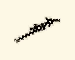 CNc1cc(C)c(/C=C/S(=O)(=O)N2CCC3(CC2)N=C(CCCCCCCCC(F)(F)F)NC3=O)c(C)c1